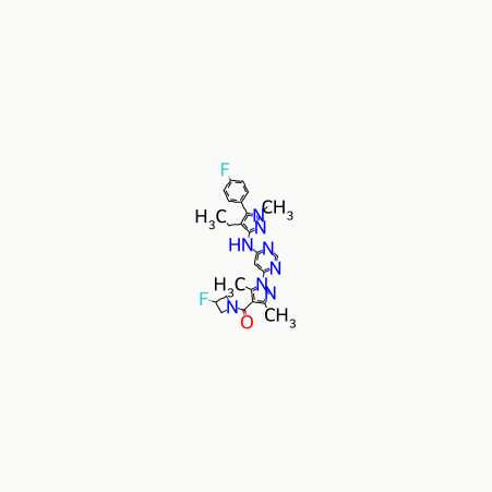 CCc1c(Nc2cc(-n3nc(C)c(C(=O)N4CC(F)C4)c3C)ncn2)nn(C)c1-c1ccc(F)cc1